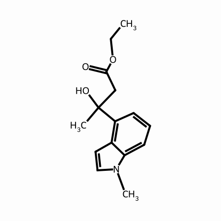 CCOC(=O)CC(C)(O)c1cccc2c1ccn2C